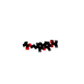 C=C(C)C(=O)OCCCc1ccc2c(oc3c(C)c(OC(=O)C(=C)C)ccc32)c1C